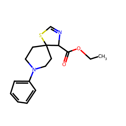 CCOC(=O)C1N=CSC12CCN(c1ccccc1)CC2